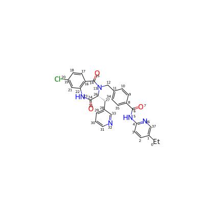 CCc1ccc(NC(=O)c2ccc(CN3C(=O)c4ccc(Cl)cc4NC(=O)[C@H]3Cc3cccnc3)cc2)nc1